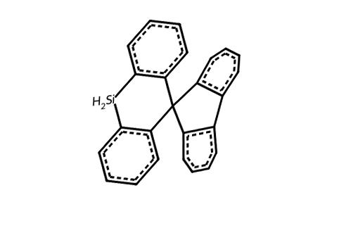 c1ccc2c(c1)[SiH2]c1ccccc1C21c2ccccc2-c2ccccc21